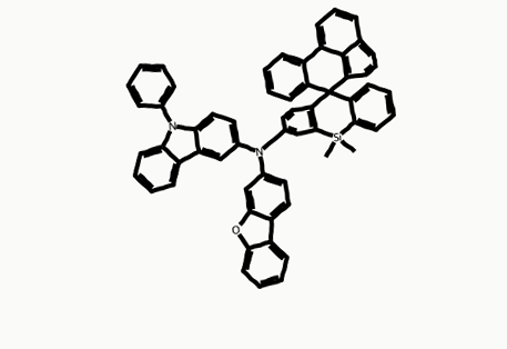 C[Si]1(C)c2ccccc2C2(c3ccccc3-c3cccc4cccc2c34)c2ccc(N(c3ccc4c(c3)oc3ccccc34)c3ccc4c(c3)c3ccccc3n4-c3ccccc3)cc21